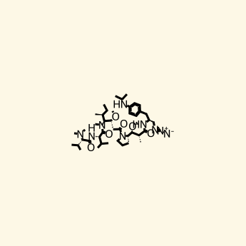 CC[C@H](C)[C@@H]([C@@H](CC(=O)N1CCC[C@H]1[C@H](OC)[C@@H](C)C(=O)N[C@H](CN=[N+]=[N-])Cc1ccc(NC(C)C)cc1)OC)N(C)C(=O)[C@@H](NC(=O)[C@H](C(C)C)N(C)C)C(C)C